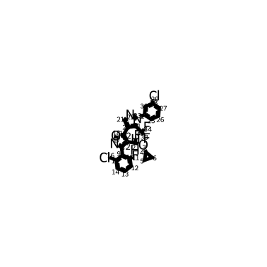 [2H]C([2H])(OC1CC1)c1c(-c2c(F)cccc2Cl)noc1-c1cnn(-c2cccc(Cl)c2)c1C(F)(F)F